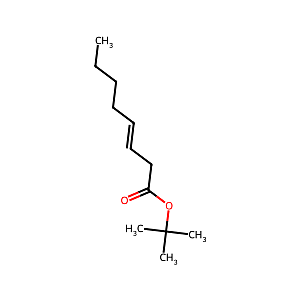 CCCC/C=C/CC(=O)OC(C)(C)C